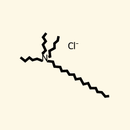 CCCCCCCCCCCCCCCCCC[N+](CCCCCC)(CCCCCC)CCCCCC.[Cl-]